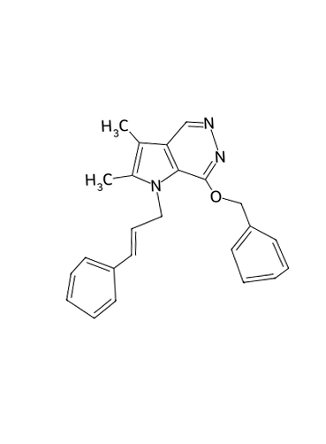 Cc1c(C)n(C/C=C/c2ccccc2)c2c(OCc3ccccc3)nncc12